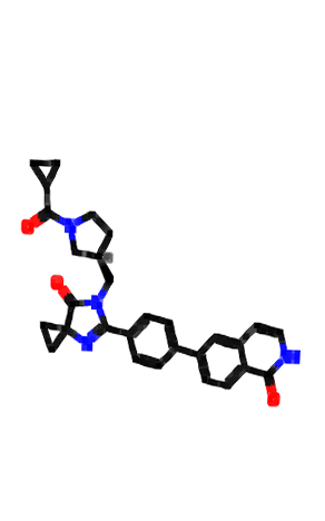 O=C(C1CC1)N1CC[C@@H](CN2C(=O)C3(CC3)N=C2c2ccc(-c3ccc4c(=O)[nH]ccc4c3)cc2)C1